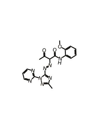 COc1ccccc1NC(=O)C(N=Nc1nc(C)nn1-c1ncccn1)C(C)=O